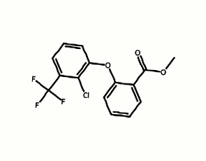 COC(=O)c1ccccc1Oc1cccc(C(F)(F)F)c1Cl